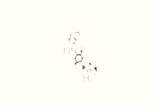 O=S(=O)(Nc1nccs1)c1cc(F)c(NC[C@@H]2CCN3CCCC23)cc1Cl